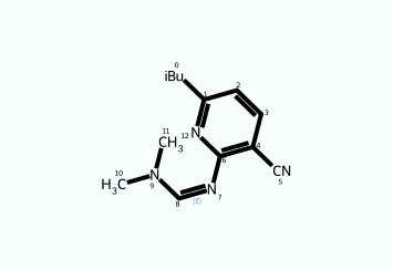 CCC(C)c1ccc(C#N)c(/N=C\N(C)C)n1